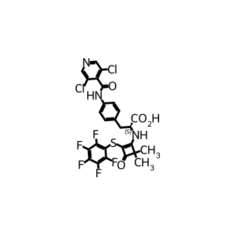 CC1(C)C(=O)C(Sc2c(F)c(F)c(F)c(F)c2F)=C1N[C@@H](Cc1ccc(NC(=O)c2c(Cl)cncc2Cl)cc1)C(=O)O